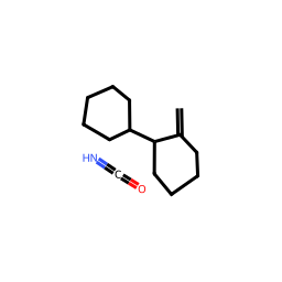 C=C1CCCCC1C1CCCCC1.N=C=O